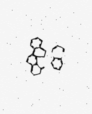 C1=CSc2ccccc2N=C1.O=C1CCC=c2ccc3c(c21)CC=c1ccccc1=3